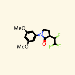 COc1cc(OC)cc(N2CCC(C(F)C(F)F)C2=O)c1